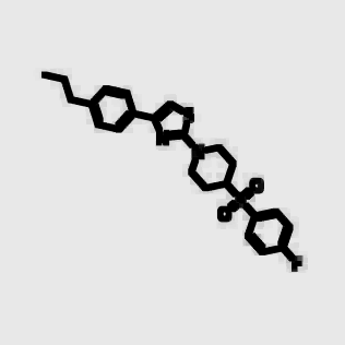 CCCc1ccc(-c2csc(N3CCC(S(=O)(=O)c4ccc(F)cc4)CC3)n2)cc1